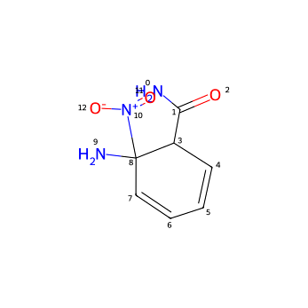 NC(=O)C1C=CC=CC1(N)[N+](=O)[O-]